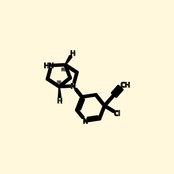 C#CC1(Cl)C=NC=C(N2C[C@@H]3C[C@H]2CN3)C1